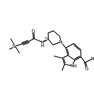 Cc1[nH]c2c(C(N)=O)ccc(N3CCC[C@H](NC(=O)C#C[Si](C)(C)C)C3)c2c1C